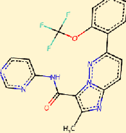 Cc1nc2ccc(-c3ccccc3OC(F)(F)F)nn2c1C(=O)Nc1ccncn1